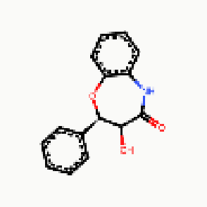 O=C1Nc2ccccc2O[C@H](c2ccccc2)[C@@H]1O